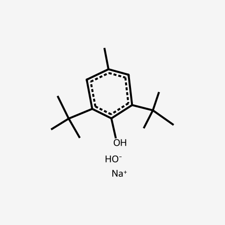 Cc1cc(C(C)(C)C)c(O)c(C(C)(C)C)c1.[Na+].[OH-]